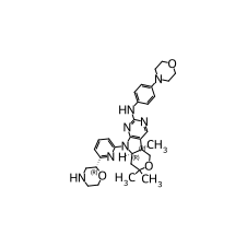 CC1(C)C[C@H]2N(c3cccc([C@H]4CNCCO4)n3)c3nc(Nc4ccc(N5CCOCC5)cc4)ncc3[C@@]2(C)CO1